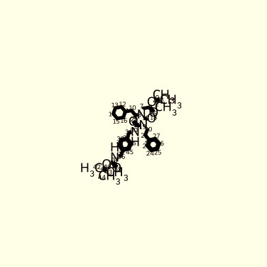 CC(C)(C)OC(=O)CN(CCC1CCCCC1)C(=O)N(CCc1ccccc1)C(=O)NCc1ccc(CNC(=O)OC(C)(C)C)cc1